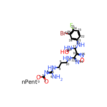 CCCCCOC(=O)/N=C(\N)NCCCNc1nonc1C(NO)Nc1ccc(F)c(Br)c1